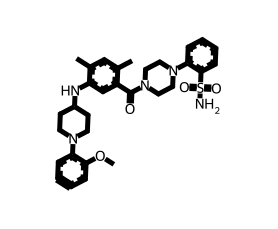 COc1cc#ccc1N1CCC(Nc2cc(C(=O)N3CCN(c4ccccc4S(N)(=O)=O)CC3)c(C)cc2C)CC1